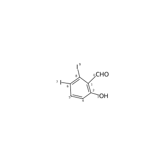 O=Cc1c(O)ccc(I)c1I